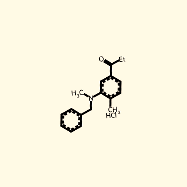 CCC(=O)c1ccc(C)c(N(C)Cc2ccccc2)c1.Cl